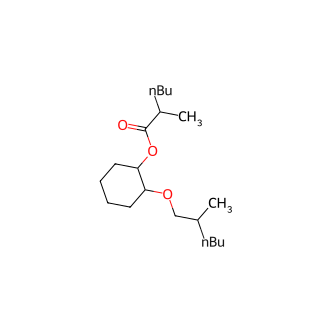 CCCCC(C)COC1CCCCC1OC(=O)C(C)CCCC